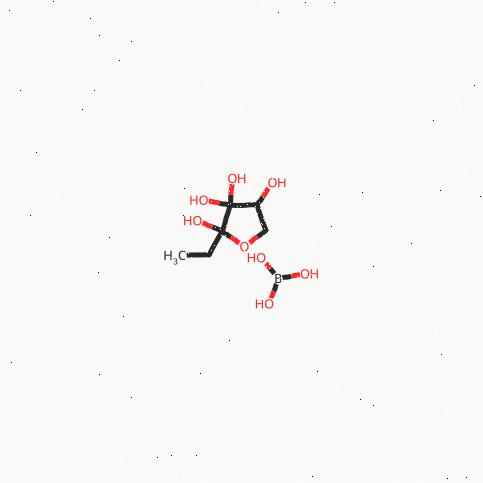 CCC1(O)OCC(O)C1(O)O.OB(O)O